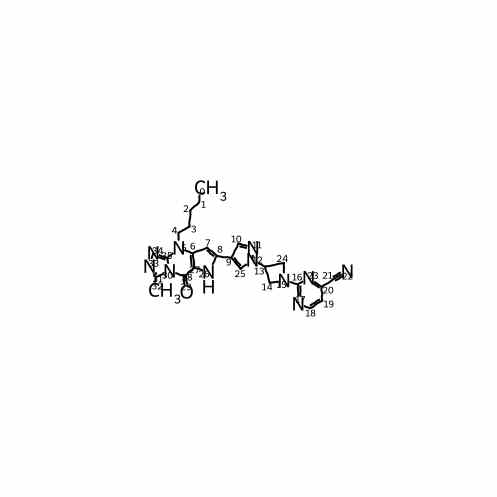 CCCCCn1c2cc(-c3cnn(C4CN(c5nccc(C#N)n5)C4)c3)[nH]c2c(=O)n2c(C)nnc12